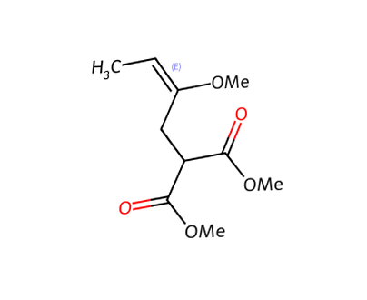 C/C=C(\CC(C(=O)OC)C(=O)OC)OC